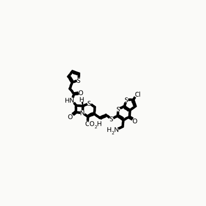 NCc1c(SC=CC2=C(C(=O)O)N3C(=O)C(NC(=O)Cc4cccs4)[C@@H]3SC2)sc2sc(Cl)cc2c1=O